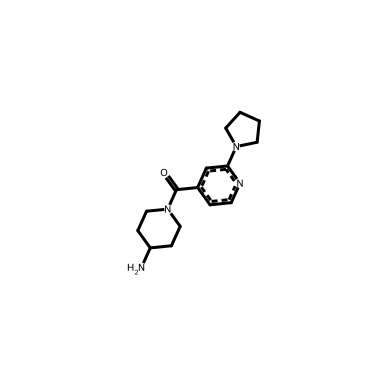 NC1CCN(C(=O)c2ccnc(N3CCCC3)c2)CC1